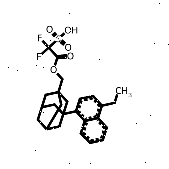 CCc1ccc(C23CC4CC(CC(COC(=O)C(F)(F)S(=O)(=O)O)(C4)C2)C3)c2ccccc12